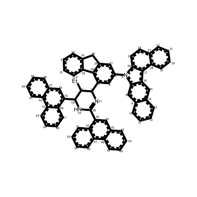 CCC1C(c2cc(-n3c4cc5ccccc5cc4c4c5ccccc5ccc43)cc3c2-c2ccccc2C3)N=C(c2cc3ccccc3c3ccccc23)NC1c1cc2ccccc2c2ccccc12